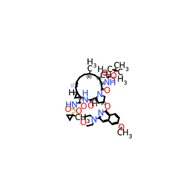 COc1ccc2c(O[C@@H]3C[C@H]4C(=O)N[C@]5(C(=O)NS(=O)(=O)C6(C)CC6)C[C@H]5/C=C\CC[C@@H](C)C[C@@H](C)[C@H](NC(=O)OC(C)(C)C)C(=O)N4C3)nc(N3CCOCC3)cc2c1